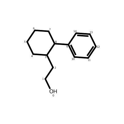 OCCC1CCCCC1c1ccccc1